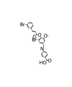 COc1cc(/C=N/c2ccc(C(=O)O)cc2)cc(Br)c1OC(=O)/C=C/c1cccc(Br)c1